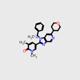 Cc1cc(-c2nc3cnc(C4CCOCC4)cc3n2[C@H](C)c2ccccc2)cn(C)c1=O